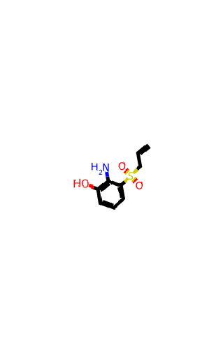 C=CCS(=O)(=O)c1cccc(O)c1N